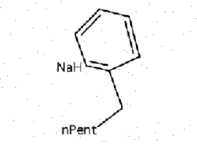 CCCCCCc1ccccc1.[NaH]